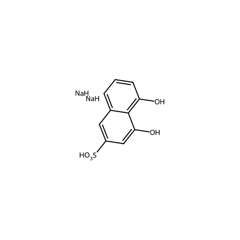 O=S(=O)(O)c1cc(O)c2c(O)cccc2c1.[NaH].[NaH]